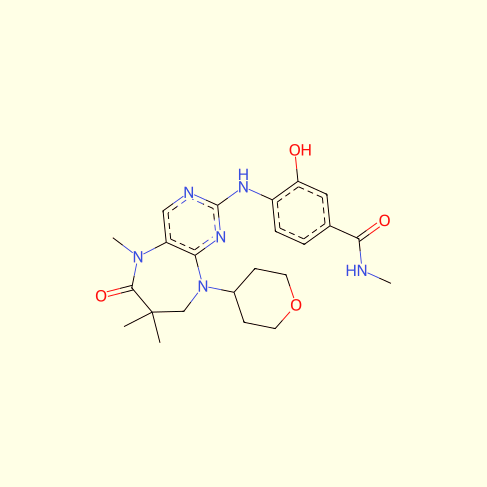 CNC(=O)c1ccc(Nc2ncc3c(n2)N(C2CCOCC2)CC(C)(C)C(=O)N3C)c(O)c1